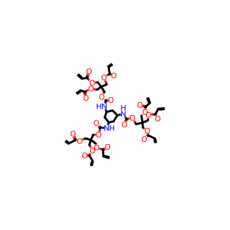 C=CC(=O)OCC(COC(=O)C=C)(COC(=O)C=C)COC(=O)NC1CC(NC(=O)OCC(COC(=O)C=C)(COC(=O)C=C)COC(=O)C=C)CC(NC(=O)OCC(COC(=O)C=C)(COC(=O)C=C)COC(=O)C=C)C1